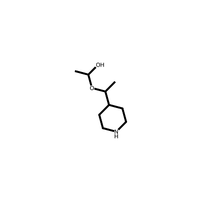 CC(O)OC(C)C1CCNCC1